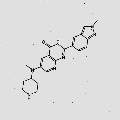 CN(c1cnc2nc(-c3ccc4nn(C)cc4c3)[nH]c(=O)c2c1)C1CCNCC1